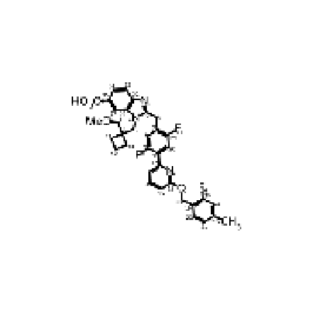 COCC1(Cn2c(Cc3cc(F)c(-c4cccc(OCc5ccc(C)cc5F)n4)cc3F)nc3ccc(C(=O)O)cc32)CCC1